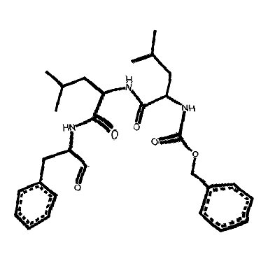 CC(C)CC(NC(=O)OCc1ccccc1)C(=O)NC(CC(C)C)C(=O)NC([C]=O)Cc1ccccc1